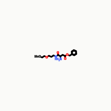 COCCOCCCNC(=O)C(N)CC(=O)OCc1ccccc1